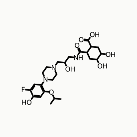 CC(C)Oc1cc(O)c(F)cc1N1CCN(CC(O)CNC(=O)C2CC(O)C(O)CC2C(=O)O)CC1